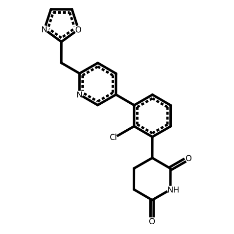 O=C1CCC(c2cccc(-c3ccc(Cc4ncco4)nc3)c2Cl)C(=O)N1